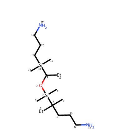 CCC(O[Si](C)(C)C(C)(CC)CCCN)[Si](C)(C)CCCN